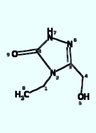 CCn1c(CO)n[nH]c1=O